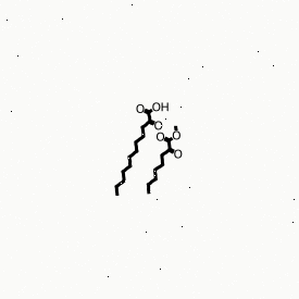 CCCCCCC(=O)C(=O)OC.CCCCCCCCCCC(=O)C(=O)O